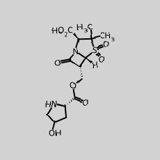 CC1(C)[C@H](C(=O)O)N2C(=O)[C@@H](COC(=O)[C@@H]3CC(O)CN3)[C@H]2S1(=O)=O